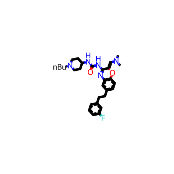 CCCCN1CCC(NC(=O)NC2=Nc3cc(CCc4cccc(F)c4)ccc3O/C2=C\N(C)C)CC1